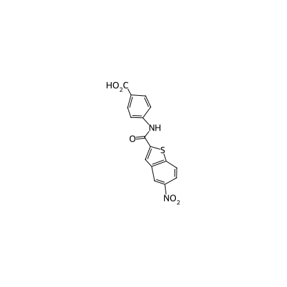 O=C(O)c1ccc(NC(=O)c2cc3cc([N+](=O)[O-])ccc3s2)cc1